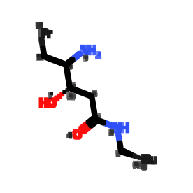 CC[C@H](C)CNC(=O)C[C@H](O)C(N)CC(C)C